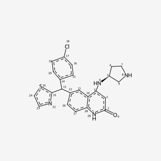 O=c1cc(N[C@H]2CCNC2)c2cc(C(c3ccc(Cl)cc3)c3nccs3)ccc2[nH]1